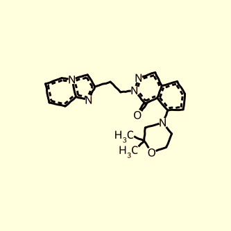 CC1(C)CN(c2cccc3cnn(CCc4cn5ccccc5n4)c(=O)c23)CCO1